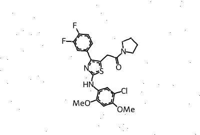 COc1cc(OC)c(Nc2nc(-c3ccc(F)c(F)c3)c(CC(=O)N3CCCC3)s2)cc1Cl